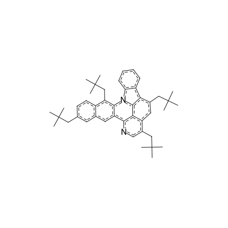 CC(C)(C)Cc1ccc2c(CC(C)(C)C)c3c(cc2c1)c1ncc(CC(C)(C)C)c2cc(CC(C)(C)C)c4c5ccccc5n3c4c21